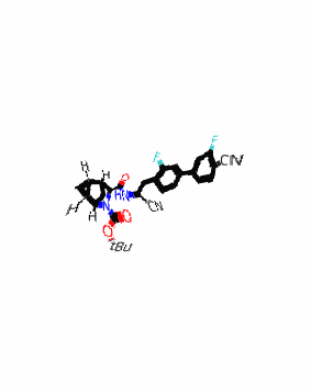 CC(C)(C)OC(=O)N1[C@H](C(=O)N[C@H](C#N)Cc2ccc(-c3ccc(C#N)c(F)c3)cc2F)[C@@H]2C[C@H]1[C@H]1C[C@@H]21